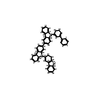 C1=C(c2ccccc2)C=C(n2c3ccccc3c3cc(-c4ccc5c6ccccc6n(C6=Cc7c(oc8ccccc78)CC6)c5c4)ccc32)CC1